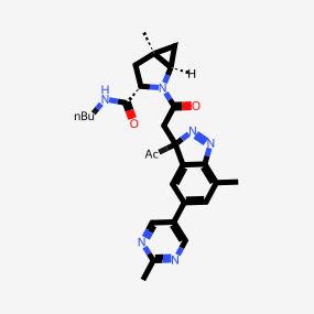 CCCCNC(=O)[C@@H]1C[C@@]2(C)C[C@H]2N1C(=O)CC1(C(C)=O)N=Nc2c(C)cc(-c3cnc(C)nc3)cc21